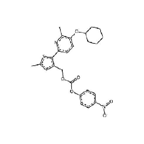 Cc1cc(COC(=O)Oc2ccc([N+](=O)[O-])cc2)c(-c2ccc(OC3CCCCC3)c(C)n2)s1